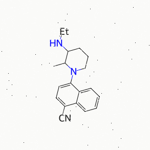 CCNC1CCCN(c2ccc(C#N)c3ccccc23)C1C